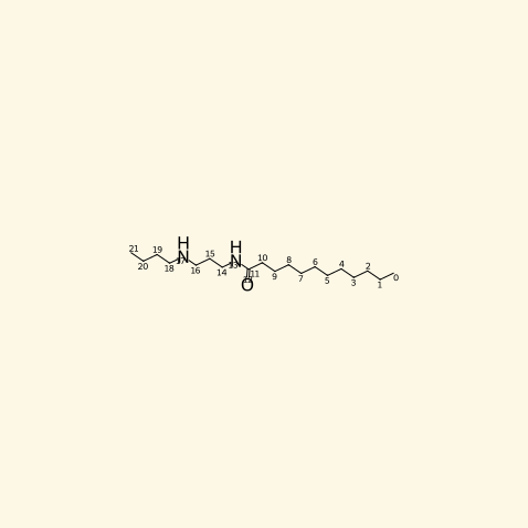 CCCCCCCCCCCC(=O)NCCCNCCCC